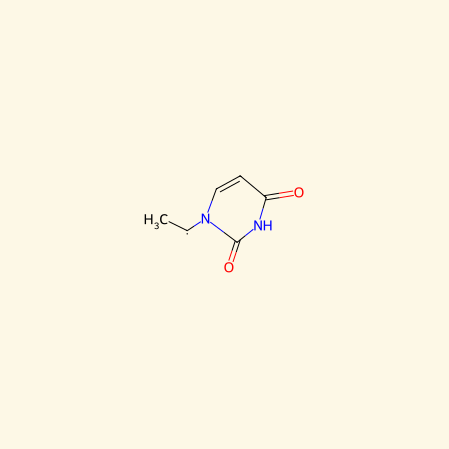 C[CH]n1ccc(=O)[nH]c1=O